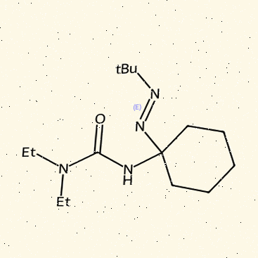 CCN(CC)C(=O)NC1(/N=N/C(C)(C)C)CCCCC1